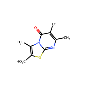 CCc1c(C)nc2sc(C(=O)O)c(C)n2c1=O